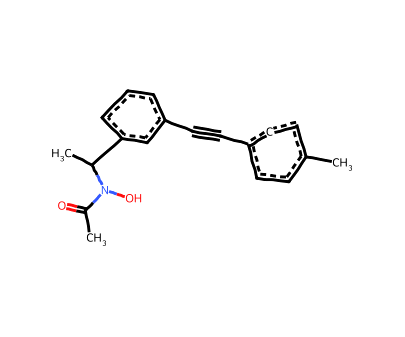 CC(=O)N(O)C(C)c1cccc(C#Cc2ccc(C)cc2)c1